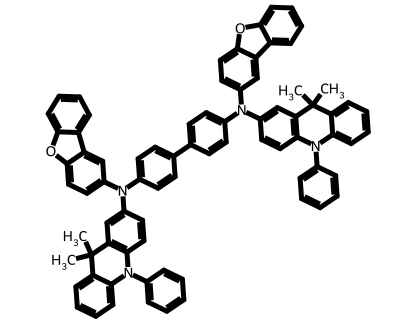 CC1(C)c2ccccc2N(c2ccccc2)c2ccc(N(c3ccc(-c4ccc(N(c5ccc6c(c5)C(C)(C)c5ccccc5N6c5ccccc5)c5ccc6oc7ccccc7c6c5)cc4)cc3)c3ccc4oc5ccccc5c4c3)cc21